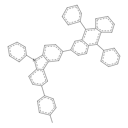 Cc1ccc(-c2ccc3c(c2)c2cc(-c4ccc5c(-c6ccccc6)c6ccccc6c(-c6ccccc6)c5c4)ccc2n3-c2ccccc2)cc1